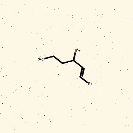 CCC=CC(CCC(C)=O)C(C)C